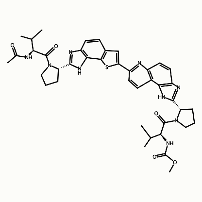 COC(=O)N[C@H](C(=O)N1CCC[C@H]1c1nc2ccc3nc(-c4cc5ccc6nc([C@@H]7CCCN7C(=O)[C@@H](NC(C)=O)C(C)C)[nH]c6c5s4)ccc3c2[nH]1)C(C)C